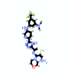 C=C(/N=C(\C(F)=C/N)N1CCOCC1)c1nnc(-c2ccc(Nc3cc(N(C)C)cc(C(F)(F)F)c3)cn2)[nH]1